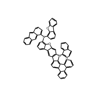 c1ccc2cc3c(N(c4cccc5c4oc4ccccc45)c4cccc5c4oc4cc6c(cc45)c4ccc5c7ccccc7c7ccccc7c5c4n6-c4nccc5ccccc45)cccc3cc2c1